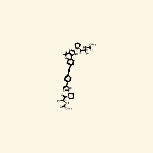 COC(=O)N[C@H](C(=O)N1CCC[C@H]1c1ncc(-c2ccc(C#Cc3ccc4c(c3)OC(C)(C)c3nc([C@@H]5CCCN5C(=O)[C@@H](NC(=O)OC)C(C)C)[nH]c3-4)cc2)[nH]1)C(C)C